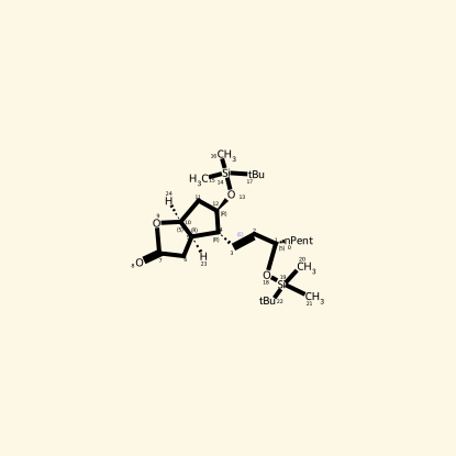 CCCCC[C@@H](/C=C/[C@@H]1[C@H]2CC(=O)O[C@H]2C[C@H]1O[Si](C)(C)C(C)(C)C)O[Si](C)(C)C(C)(C)C